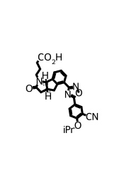 CC(C)Oc1ccc(-c2nc(-c3cccc4c3C[C@@H]3CC(=O)N(CCCC(=O)O)[C@H]43)no2)cc1C#N